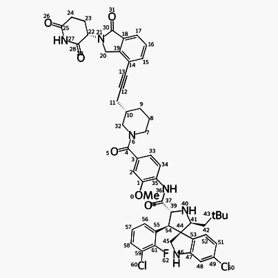 COc1cc(C(=O)N2CCC[C@@H](CC#Cc3cccc4c3CN([C@H]3CCC(=O)NC3=O)C4=O)C2)ccc1NC(=O)[C@@H]1N[C@@H](CC(C)(C)C)[C@@]2(CNc3cc(Cl)ccc32)[C@H]1c1cccc(Cl)c1F